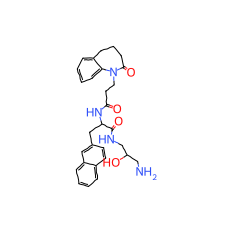 NCC(O)CNC(=O)C(Cc1ccc2ccccc2c1)NC(=O)CCN1C(=O)CCCc2ccccc21